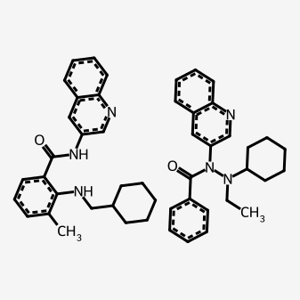 CCN(C1CCCCC1)N(C(=O)c1ccccc1)c1cnc2ccccc2c1.Cc1cccc(C(=O)Nc2cnc3ccccc3c2)c1NCC1CCCCC1